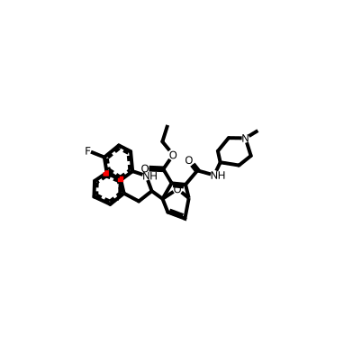 CCOC(=O)C1=C(C(=O)NC2CCN(C)CC2)C2C=CC1(C(Cc1ccccc1)Nc1ccc(F)cc1F)O2